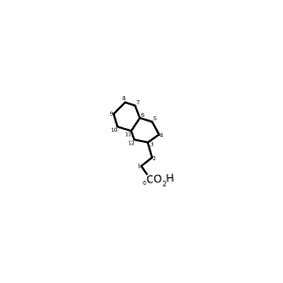 O=C(O)CCC1CCC2CCCCC2C1